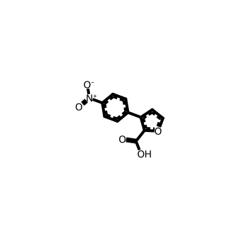 O=C(O)c1occc1-c1ccc([N+](=O)[O-])cc1